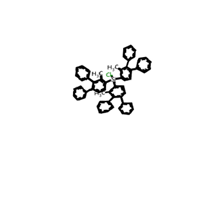 Cc1c([Si](Cl)(c2ccc(-c3ccccc3)c(-c3ccccc3)c2C)c2ccc(-c3ccccc3)c(-c3ccccc3)c2C)ccc(-c2ccccc2)c1-c1ccccc1